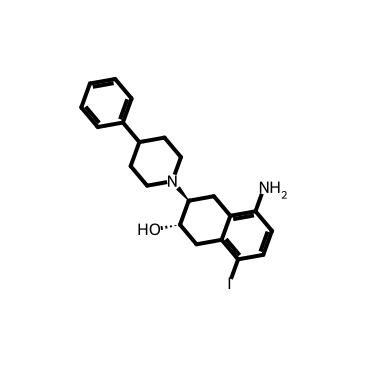 Nc1ccc(I)c2c1C[C@H](N1CCC(c3ccccc3)CC1)[C@@H](O)C2